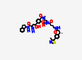 Cc1ncsc1-c1ccc([C@@H](C)CC(=O)NCCCC(=O)NCCN(C)C(=O)c2ccc(/C(O)=C/C(=N)C(=O)NC3CCc4ccccc43)cc2O)cc1